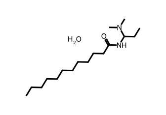 CCCCCCCCCCCC(=O)NC(CC)N(C)C.O